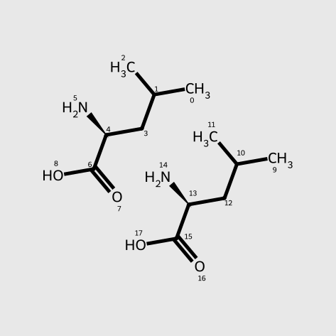 CC(C)C[C@H](N)C(=O)O.CC(C)C[C@H](N)C(=O)O